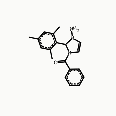 Cc1cc(C)c(C2N(N)C=CN2C(=O)c2ccccc2)c(C)c1